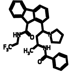 CC(CC(c1cccc2c1C(C(=O)NCC(F)(F)F)c1ccccc1-2)N1CCCC1)NC(=O)c1ccccc1